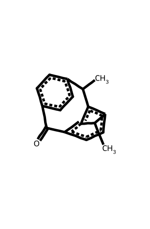 CC1c2ccc(cc2)C(=O)c2ccc3c1c2C3C